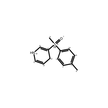 Cc1ccc([SH](C)(=O)C2=CNC=CC2)cc1